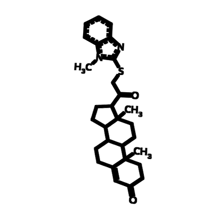 Cn1c(SCC(=O)C2CCC3C4CCC5=CC(=O)CCC5(C)C4CCC23C)nc2ccccc21